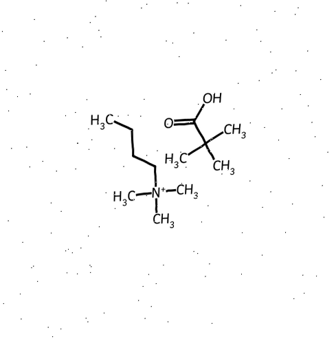 CC(C)(C)C(=O)O.CCCC[N+](C)(C)C